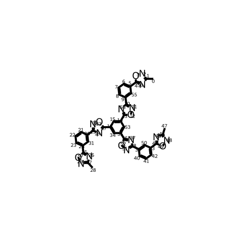 Cc1noc(-c2cccc(-c3noc(-c4cc(-c5nc(-c6cccc(-c7nc(C)no7)c6)no5)cc(-c5nc(-c6cccc(-c7nc(C)no7)c6)no5)c4)n3)c2)n1